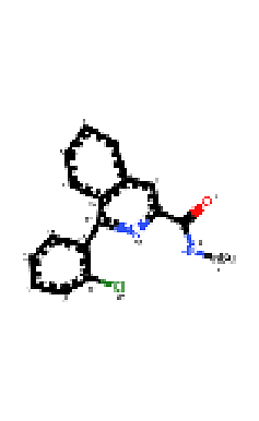 CCCCNC(=O)c1cc2ccccc2c(-c2ccccc2Cl)n1